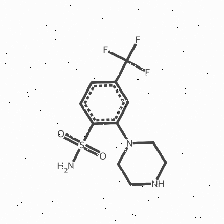 NS(=O)(=O)c1ccc(C(F)(F)F)cc1N1CCNCC1